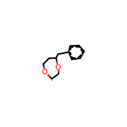 [CH]1COC(Cc2ccccc2)CCO1